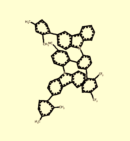 Cc1ccc(-c2ccc3c(c2)c2ccccc2n3-c2ccc(C#N)cc2-c2cc(-c3ccc(C(F)(F)F)cc3C(F)(F)F)ccc2-n2c3ccccc3c3cc(-c4ccc(C)cc4C)ccc32)c(C)c1